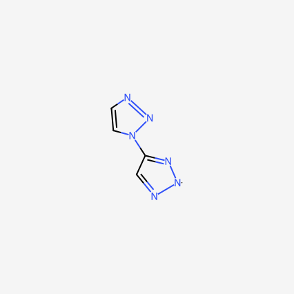 C1=N[N]N=C1n1ccnn1